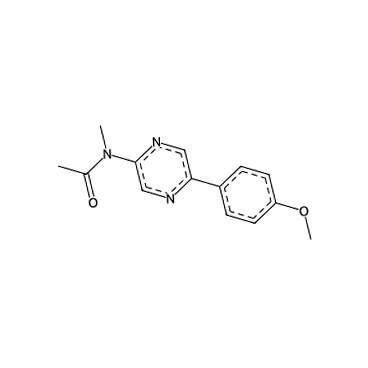 COc1ccc(-c2cnc(N(C)C(C)=O)cn2)cc1